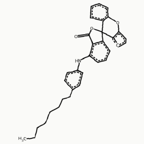 CCCCCCCCc1ccc(Nc2cccc3c2C(=O)OC32c3ccccc3Oc3ccccc32)cc1